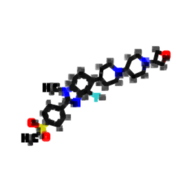 Cn1c(-c2ccc(S(C)(=O)=O)cc2)nc2c(F)c(C3CCN(C4CCN(C5COC5)CC4)CC3)ccc21